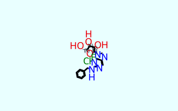 OC[C@H]1O[C@@H](N2C=NC3=CN=C(NCc4ccccc4)N(Cl)C32F)[C@@H](O)[C@@H]1O